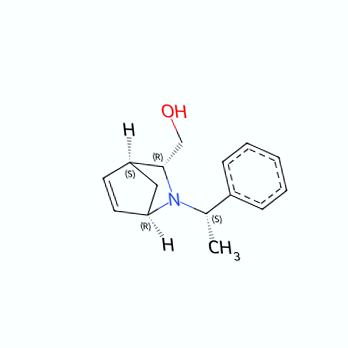 C[C@@H](c1ccccc1)N1[C@H]2C=C[C@H](C2)[C@@H]1CO